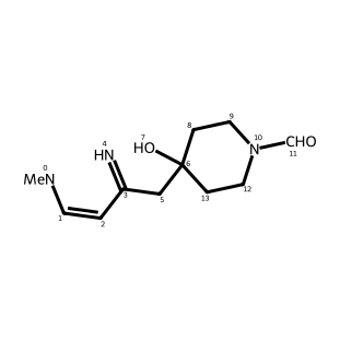 CN/C=C\C(=N)CC1(O)CCN(C=O)CC1